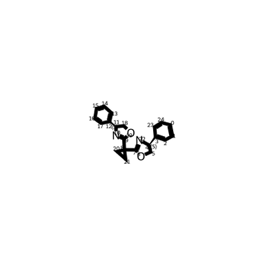 c1ccc([C@H]2COC(C3(C4=N[C@@H](c5ccccc5)CO4)CC3)=N2)cc1